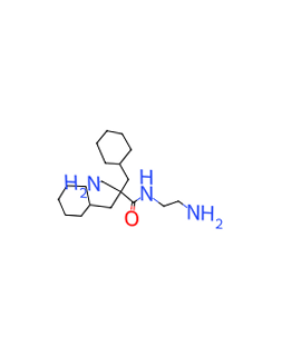 NCCNC(=O)C(CN)(CC1CCCCC1)CC1CCCCC1